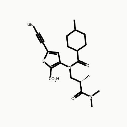 CC1CCC(C(=O)N(C[C@H](C)C(=O)N(C)C)c2cc(C#CC(C)(C)C)sc2C(=O)O)CC1